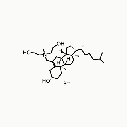 CC(C)CCC[C@@H](C)[C@H]1CC[C@H]2[C@@H]3CC(C[N+](C)(CCO)CCO)=C4C[C@@H](O)CC[C@]4(C)[C@H]3CC[C@]12C.[Br-]